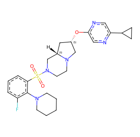 O=S(=O)(c1cccc(F)c1N1CCCCC1)N1CCN2C[C@@H](Oc3cnc(C4CC4)cn3)C[C@H]2C1